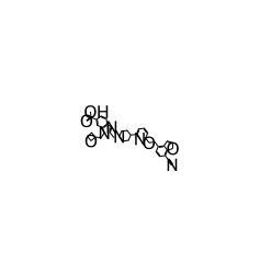 N#Cc1ccc(COc2cccc(C3CCN(Cc4nc5ccc(C(=O)O)cc5n4CC4CCO4)CC3)n2)c2ccoc12